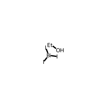 CCO.[I][Bi]([I])[I]